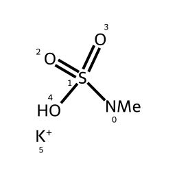 C[N-]S(=O)(=O)O.[K+]